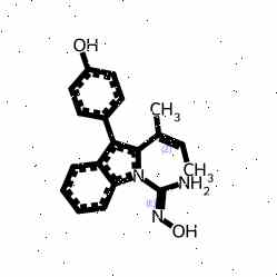 C/C=C(/C)c1c(-c2ccc(O)cc2)c2ccccc2n1/C(N)=N/O